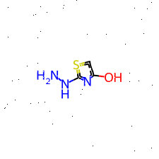 NNc1nc(O)cs1